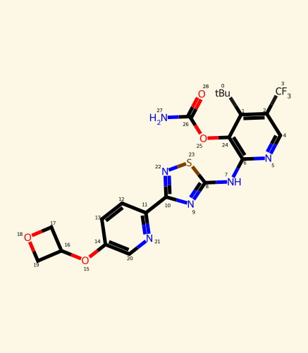 CC(C)(C)c1c(C(F)(F)F)cnc(Nc2nc(-c3ccc(OC4COC4)cn3)ns2)c1OC(N)=O